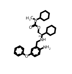 CN(C(=O)OC[C@H](NCc1cc(Oc2ccccc2)ccc1N)C1CCCCC1)C1CCCCC1